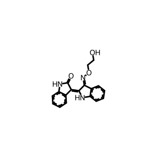 O=C1Nc2ccccc2C1=C1Nc2ccccc2C1=NOCCO